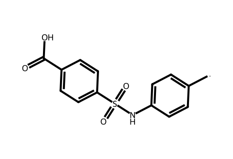 [CH2]c1ccc(NS(=O)(=O)c2ccc(C(=O)O)cc2)cc1